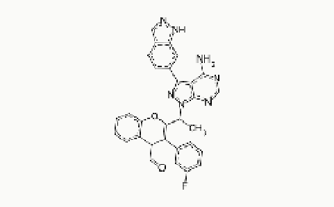 CC(C1=C(c2cccc(F)c2)C(C=O)c2ccccc2O1)n1nc(-c2ccc3cn[nH]c3c2)c2c(N)ncnc21